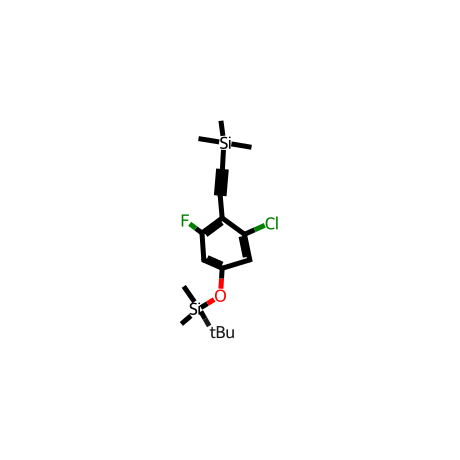 CC(C)(C)[Si](C)(C)Oc1cc(F)c(C#C[Si](C)(C)C)c(Cl)c1